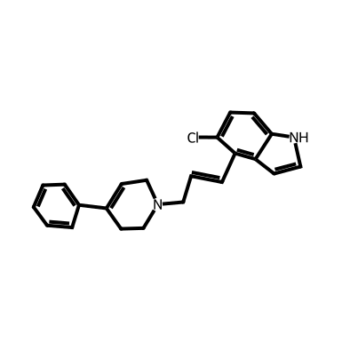 Clc1ccc2[nH]ccc2c1C=CCN1CC=C(c2ccccc2)CC1